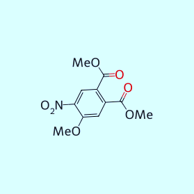 COC(=O)c1cc(OC)c([N+](=O)[O-])cc1C(=O)OC